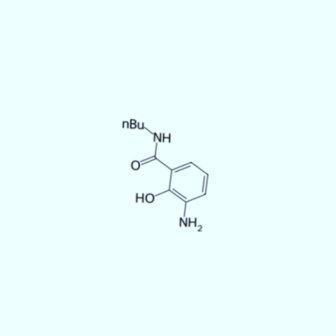 CCCCNC(=O)c1cccc(N)c1O